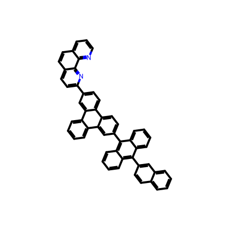 c1ccc2cc(-c3c4ccccc4c(-c4ccc5c6ccc(-c7ccc8ccc9cccnc9c8n7)cc6c6ccccc6c5c4)c4ccccc34)ccc2c1